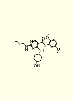 CCCCNc1ncc(C(=O)Nc2cc(OC)ccc2OC)c(N[C@H]2CC[C@H](O)CC2)n1